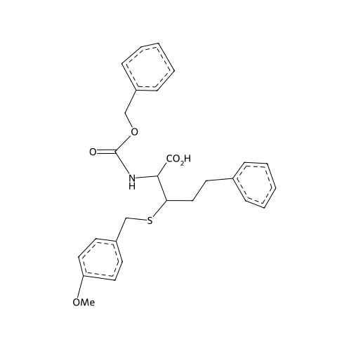 COc1ccc(CSC(CCc2ccccc2)C(NC(=O)OCc2ccccc2)C(=O)O)cc1